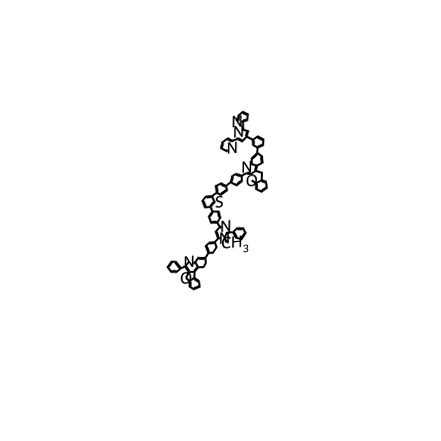 CN1C(C2=CC=C(C3=Cc4nc(-c5ccccc5)c5oc6ccccc6c5c4CC3)CC2)=CC(c2ccc(-c3cccc4c3sc3cc(-c5ccc(-c6nc7cc(-c8cccc(-c9cc(-c%10ccccn%10)nc(-c%10ccccn%10)c9)c8)ccc7c7c6Oc6ccccc6C7)cc5)ccc34)cc2)=NC1c1ccccc1